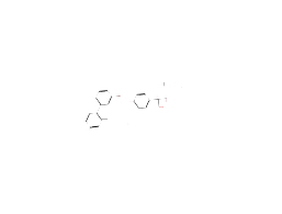 CCOC(=O)COC1(c2ccc(OCc3cccc(-c4ccc(F)cc4C)c3)cc2)COC1